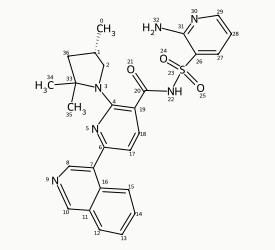 C[C@@H]1CN(c2nc(-c3cncc4ccccc34)ccc2C(=O)NS(=O)(=O)c2cccnc2N)C(C)(C)C1